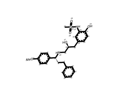 COc1ccc([C@@H](CCc2ccccc2)NC[C@@H](O)Cc2ccc(O)c(NS(C)(=O)=O)c2)cc1